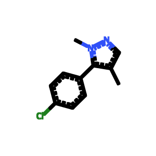 Cc1cnn(C)c1-c1ccc(Cl)cc1